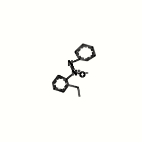 CCc1ccccc1[N+]([O-])=Nc1ccccc1